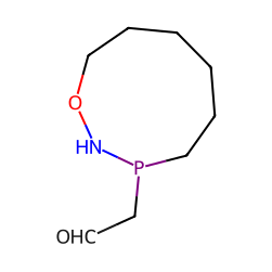 O=CCP1CCCCCCON1